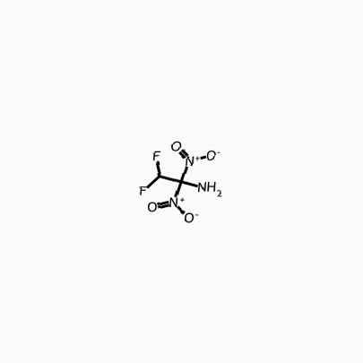 NC(C(F)F)([N+](=O)[O-])[N+](=O)[O-]